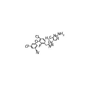 Cc1nc(N)ncc1-c1nnc(Cc2ccc(Cl)c(Oc3cc(Cl)cc(C#N)c3)c2F)o1